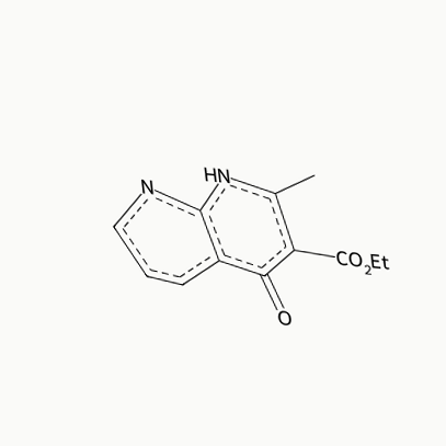 CCOC(=O)c1c(C)[nH]c2ncccc2c1=O